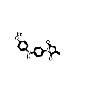 C=C1CC(=O)N(c2ccc(Nc3ccc(OCC)cc3)cc2)C1=O